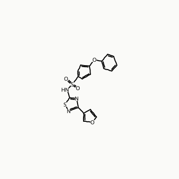 O=S(=O)(Nc1nc(-c2ccoc2)ns1)c1ccc(Oc2ccccc2)cc1